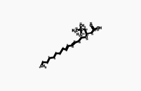 CCCCCCCCC=CC=CCCO[C@H](CC(=O)O)C[N+](C)(C)C